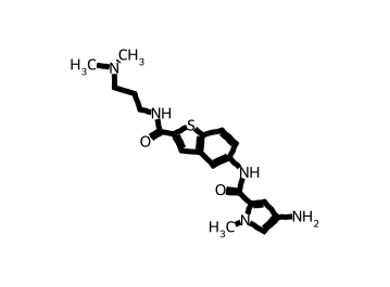 CN(C)CCCNC(=O)c1cc2cc(NC(=O)c3cc(N)cn3C)ccc2s1